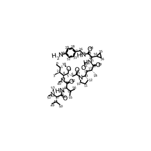 CC[C@H](C)[C@@H]([C@@H](CC(=O)N1CCC[C@H]1[C@H](OC)[C@@H](C)C(=O)NC(C(=O)NCc1ccc(N)cc1)C1CC1)OC)N(C)C(=O)[C@@H](NC(=O)[C@H](C(C)C)N(C)C)C(C)C